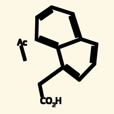 CC(C)=O.O=C(O)Cc1cccc2ccccc12